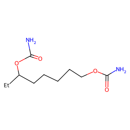 CCC(CCCCCOC(N)=O)OC(N)=O